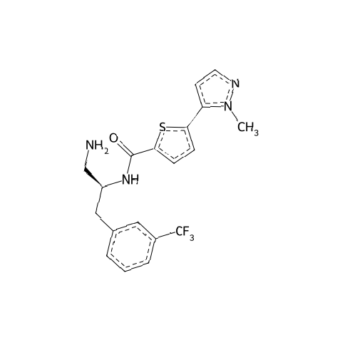 Cn1nccc1-c1ccc(C(=O)N[C@H](CN)Cc2cccc(C(F)(F)F)c2)s1